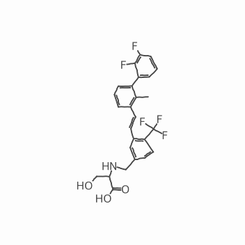 Cc1c(C=Cc2cc(CNC(CO)C(=O)O)ccc2C(F)(F)F)cccc1-c1cccc(F)c1F